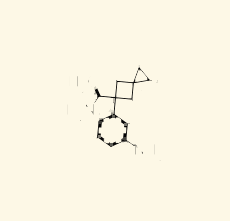 C=C(N)C1(c2cccc(N)c2)CC2(CC2)C1